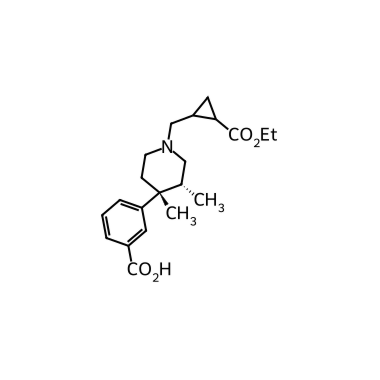 CCOC(=O)C1CC1CN1CC[C@@](C)(c2cccc(C(=O)O)c2)[C@@H](C)C1